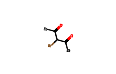 CCC(=O)C(Br)C(=O)CC